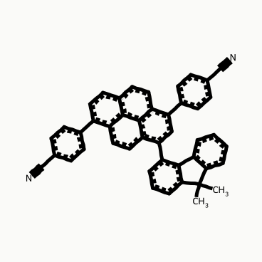 CC1(C)c2ccccc2-c2c(-c3cc(-c4ccc(C#N)cc4)c4ccc5ccc(-c6ccc(C#N)cc6)c6ccc3c4c56)cccc21